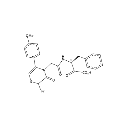 COc1ccc(C2=CSC(C(C)C)C(=O)N2CC(=O)N[C@@H](Cc2ccccc2)C(=O)C(=O)O)cc1